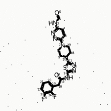 O=CNc1ccc(N2CCC(c3nnc(NC(=O)Cc4cccc(F)c4F)s3)CC2)nn1